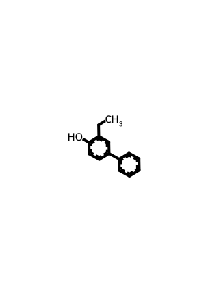 CCc1cc(-c2ccccc2)ccc1O